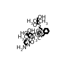 CN(Cc1ccccc1)P(=O)(OCCSC(=O)C(C)(C)CO)OC[C@H]1O[C@@H](n2ccc(N)nc2=O)[C@@](C)(O)C1O